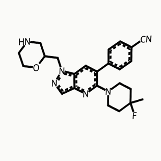 CC1(F)CCN(c2nc3cnn(CC4CNCCO4)c3cc2-c2ccc(C#N)cc2)CC1